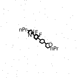 CCCc1cnc(-c2ccc(C3CCC(C4CCC(CCC)OC4)CC3)c(F)c2F)nc1